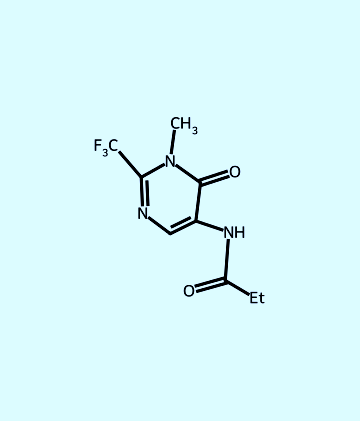 CCC(=O)Nc1cnc(C(F)(F)F)n(C)c1=O